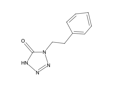 O=c1[nH]nnn1CCc1ccccc1